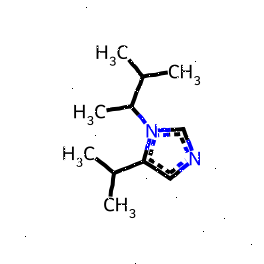 CC(C)c1cncn1C(C)C(C)C